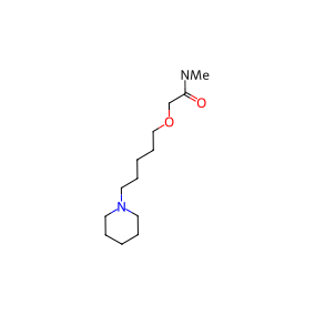 CNC(=O)COCCCCCN1CCCCC1